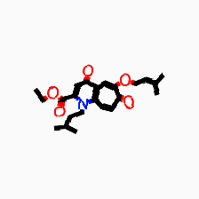 CCOC(=O)c1cc(=O)c2cc(OCCC(C)C)c(=O)ccc2n1CCC(C)C